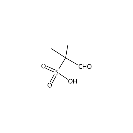 CC(C)(C=O)S(=O)(=O)O